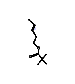 C/C=C/CCOC(=O)C(C)(C)C